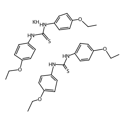 CCOc1ccc(NC(=S)Nc2ccc(OCC)cc2)cc1.CCOc1ccc(NC(=S)Nc2ccc(OCC)cc2)cc1.[KH]